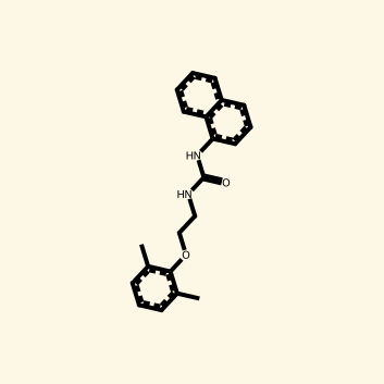 Cc1cccc(C)c1OCCNC(=O)Nc1cccc2ccccc12